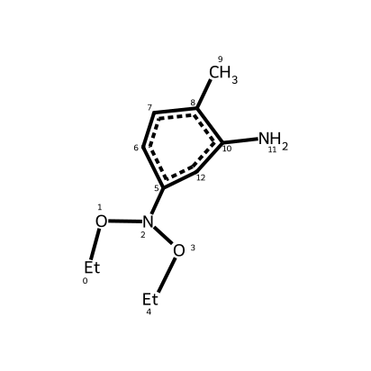 CCON(OCC)c1ccc(C)c(N)c1